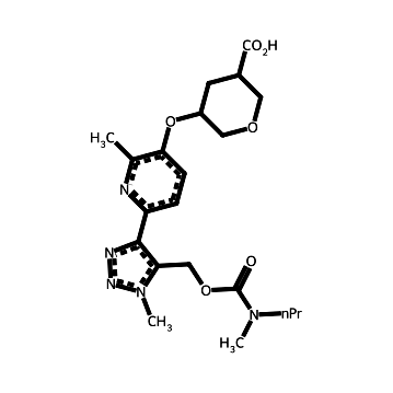 CCCN(C)C(=O)OCc1c(-c2ccc(OC3COCC(C(=O)O)C3)c(C)n2)nnn1C